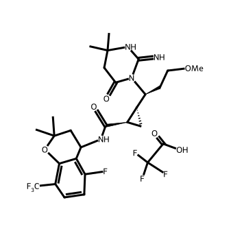 COCC[C@@H]([C@@H]1C[C@H]1C(=O)NC1CC(C)(C)Oc2c(C(F)(F)F)ccc(F)c21)N1C(=N)NC(C)(C)CC1=O.O=C(O)C(F)(F)F